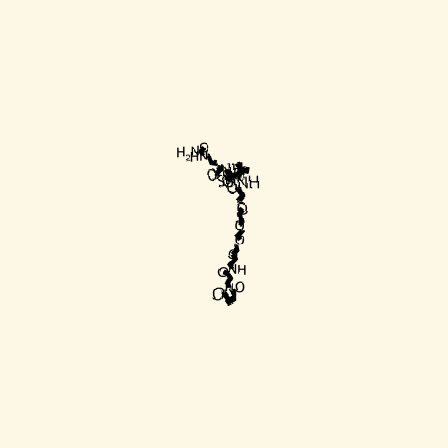 C=C(C)[C@H](NC(=O)CCOCCOCCOCCOCCNC(=O)CCN1C(=O)C=CC1=O)C(=O)N[C@@H](CCCNC(N)=O)C(=O)S